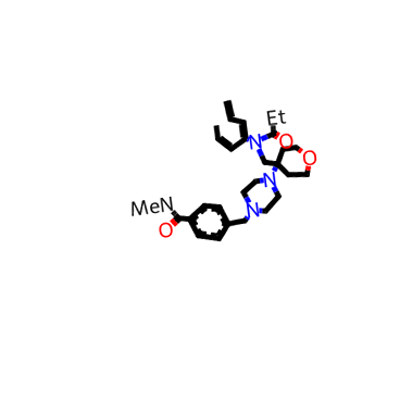 C=C/C=C(\C=C/C)N(CC1(N2CCN(Cc3ccc(C(=O)NC)cc3)CC2)CCOCC1)C(=O)CC